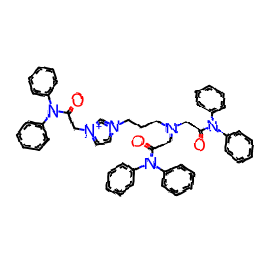 O=C(CN(CCCn1cc[n+](CC(=O)N(c2ccccc2)c2ccccc2)c1)CC(=O)N(c1ccccc1)c1ccccc1)N(c1ccccc1)c1ccccc1